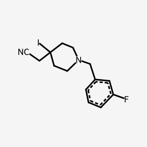 N#CCC1(I)CCN(Cc2cccc(F)c2)CC1